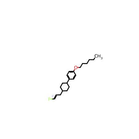 CCCCCCOc1ccc(C2CCC(C/C=C/F)CC2)cc1